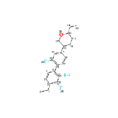 CCc1ccc(-c2ccc(C3CCC(CC)OC3)cc2F)c(F)c1F